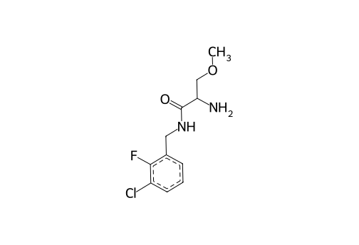 COCC(N)C(=O)NCc1cccc(Cl)c1F